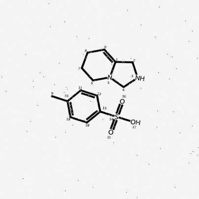 C1=C2CNCN2CCC1.Cc1ccc(S(=O)(=O)O)cc1